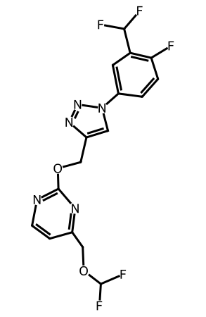 Fc1ccc(-n2cc(COc3nccc(COC(F)F)n3)nn2)cc1C(F)F